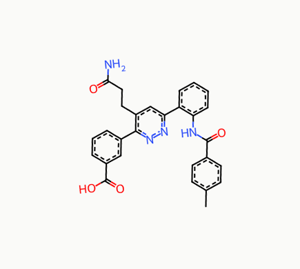 Cc1ccc(C(=O)Nc2ccccc2-c2cc(CCC(N)=O)c(-c3cccc(C(=O)O)c3)nn2)cc1